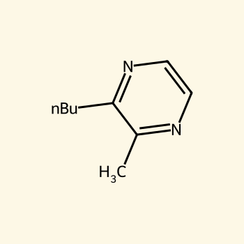 CC[CH]Cc1nccnc1C